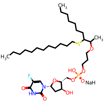 CCCCCCCCCCCCSC(CCCCCCC)C(C)OCCCOP(=O)(O)OC[C@H]1O[C@@H](n2cc(F)c(=O)[nH]c2=O)C[C@@H]1O.[NaH]